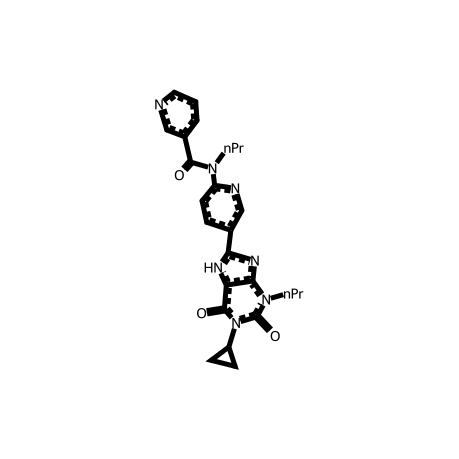 CCCN(C(=O)c1cccnc1)c1ccc(-c2nc3c([nH]2)c(=O)n(C2CC2)c(=O)n3CCC)cn1